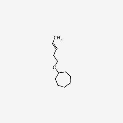 CC=CCCOC1CCCCCC1